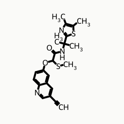 C#Cc1cnc2ccc(OC(SC)C(=O)NC(C)(C)c3nc(C)c(C)s3)cc2c1